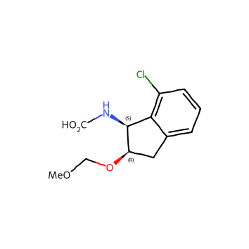 COCO[C@@H]1Cc2cccc(Cl)c2[C@@H]1NC(=O)O